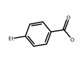 CCc1ccc(C([O])=O)cc1